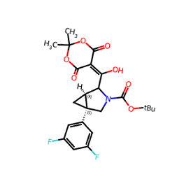 CC(C)(C)OC(=O)N1C[C@@]2(c3cc(F)cc(F)c3)C[C@H]2C1C(O)=C1C(=O)OC(C)(C)OC1=O